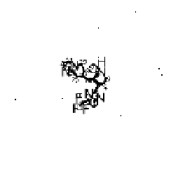 O=c1[nH]ccc(-c2noc(C(F)(F)F)n2)c1CC1CCn2ccnc2C1